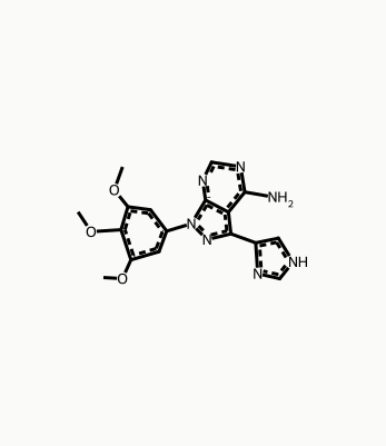 COc1cc(-n2nc(-c3c[nH]cn3)c3c(N)ncnc32)cc(OC)c1OC